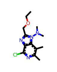 CCOCc1nc2c(Cl)nc(C)c(C)c2n1N(C)C